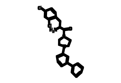 NC(Cc1ccc(Cl)cc1Cl)C(=O)N1CCN(c2cccc(-c3ccccc3)c2)CC1